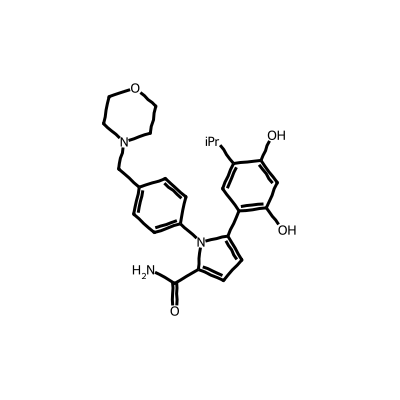 CC(C)c1cc(-c2ccc(C(N)=O)n2-c2ccc(CN3CCOCC3)cc2)c(O)cc1O